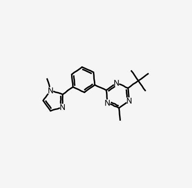 Cc1nc(-c2cccc(-c3nccn3C)c2)nc(C(C)(C)C)n1